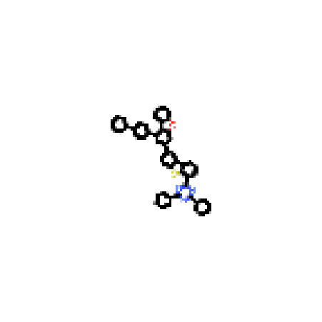 c1ccc(-c2ccc(-c3cc(-c4ccc5sc6c(-c7nc(-c8ccccc8)nc(-c8ccccc8)n7)cccc6c5c4)cc4oc5ccccc5c34)cc2)cc1